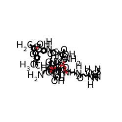 C=c1ccc2c(c1)Oc1cc(N(C)C)ccc1C=2c1ccc(NC(=O)CSC[C@H](NC(=O)[C@H](CCCCN)NC(=O)[C@H](CC(=O)O)NC(=O)[C@H](CCCCN)NC(=O)[C@H](CC(=O)O)NC(=O)[C@H](CCCCN)NC(=O)CCCCCNC(=O)CCC(=O)Nc2nnc(SN)s2)C(=O)O)cc1C(=O)O